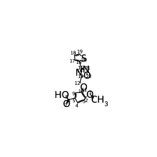 COc1ccc(C(=O)O)cc1OCc1nc(-c2cccs2)no1